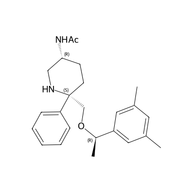 CC(=O)N[C@@H]1CC[C@@](CO[C@H](C)c2cc(C)cc(C)c2)(c2ccccc2)NC1